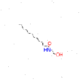 CCCCCCC/C=C/C=C/C(=O)NCCO